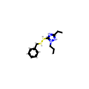 CCCn1nc(CC)nc1SSCc1ccccc1